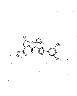 CNC(=O)[C@H]1CC(O)CN1C(=O)C(n1cc(-c2cc(C)nc(C)c2)nn1)C(C)(C)C